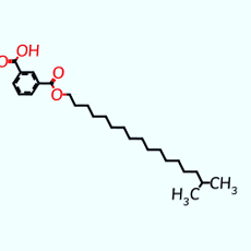 CC(C)CCCCCCCCCCCCCCCOC(=O)c1cccc(C(=O)O)c1